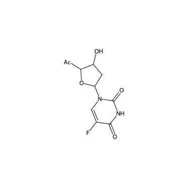 CC(=O)C1OC(n2cc(F)c(=O)[nH]c2=O)CC1O